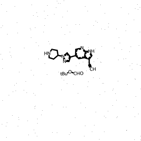 C#Cc1c[nH]c2ncc(-c3cnn(C4CCNCC4)c3)cc12.CC(C)(C)OC=O